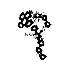 N#Cc1nc2c(oc3ccc(-c4ccc5oc6ccccc6c5c4)cc32)c(C#[N+]c2cccc(-c3ccc4oc5nc(C#N)c(-n6c7cccc8c7c7c9c(cccc9ccc76)-c6ccccc6-8)c(C#N)c5c4c3)c2)c1-c1ccccc1